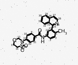 Cc1ccc(NC(=O)c2ccc(N3COCCS3(=O)=O)cc2)cc1-c1nccc2ccccc12